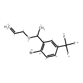 C=CCOC(C)c1cc(C(F)(F)F)ccc1Br